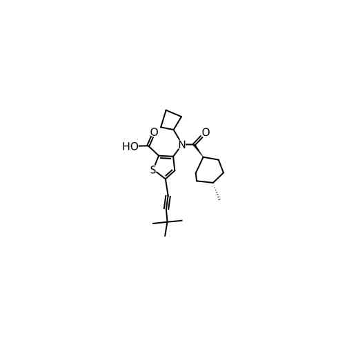 CC(C)(C)C#Cc1cc(N(C(=O)[C@H]2CC[C@H](C)CC2)C2CCC2)c(C(=O)O)s1